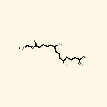 CCOC(=O)CCCCC(C)CCCC(C)CCCC(C)C